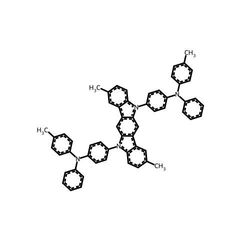 Cc1ccc(N(c2ccccc2)c2ccc(-n3c4ccc(C)cc4c4cc5c(cc43)c3cc(C)ccc3n5-c3ccc(N(c4ccccc4)c4ccc(C)cc4)cc3)cc2)cc1